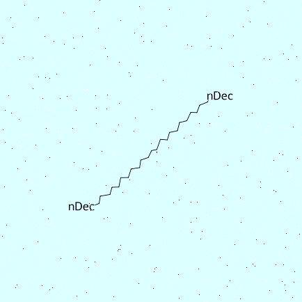 CCCCCCCCCCCCCCCCCCCC[CH]CCCCCCCCCCCCCCCCCCCCCC